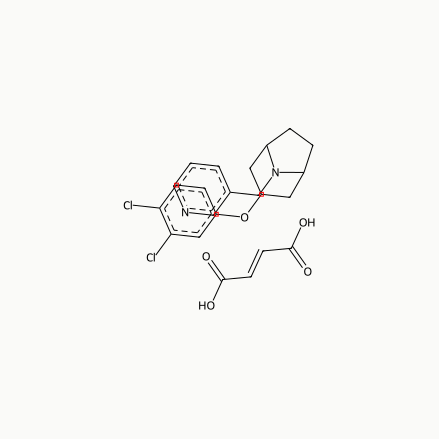 Clc1ccc(OC2CC3CCC(C2)N3Cc2cccnc2)cc1Cl.O=C(O)C=CC(=O)O